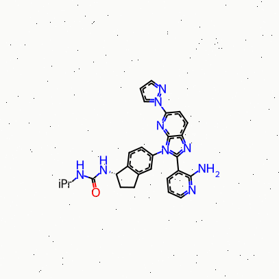 CC(C)NC(=O)N[C@H]1CCc2cc(-n3c(-c4cccnc4N)nc4ccc(-n5cccn5)nc43)ccc21